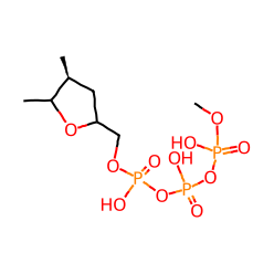 COP(=O)(O)OP(=O)(O)OP(=O)(O)OCC1C[C@H](C)C(C)O1